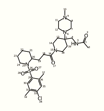 CC(=O)NCC1(N2CCN(C)CC2)CCN(C(=O)CCC2CCCCN2S(=O)(=O)c2cc(C)c(Cl)cc2C)CC1